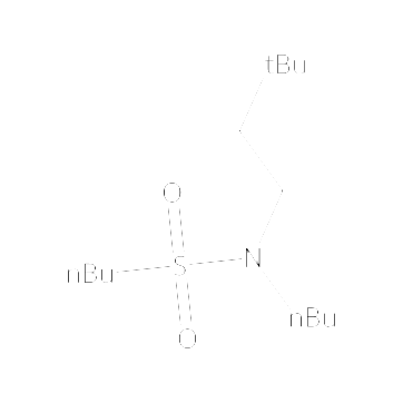 CCCCN(CCC(C)(C)C)S(=O)(=O)CCCC